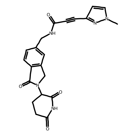 Cn1ccc(C#CC(=O)NCc2ccc3c(c2)CN(C2CCC(=O)NC2=O)C3=O)n1